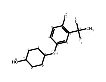 CC(F)(F)c1cc(NC2CCC(O)CC2)ccc1Cl